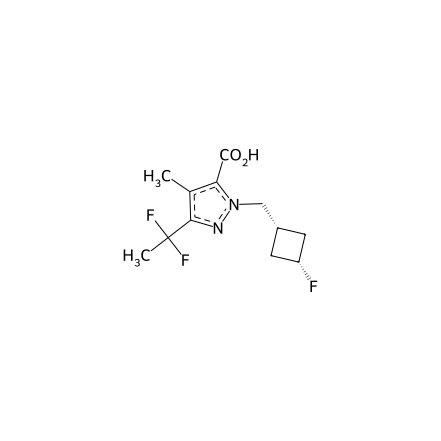 Cc1c(C(C)(F)F)nn(C[C@H]2C[C@@H](F)C2)c1C(=O)O